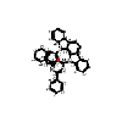 C1=CC2c3ccc4c5ccccc5n(-c5nc(C6=CCCC=C6)nc(-c6ccccc6)n5)c4c3N(c3ccccc3)C2C=C1